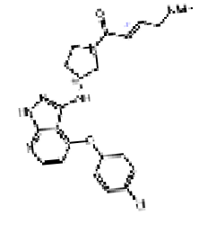 CNC/C=C/C(=O)N1CC[C@@H](Nc2n[nH]c3nccc(Oc4ccc(Cl)cc4)c23)C1